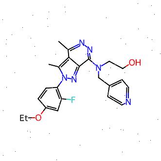 CCOc1ccc(-n2nc3c(N(CCO)Cc4ccncc4)nnc(C)c3c2C)c(F)c1